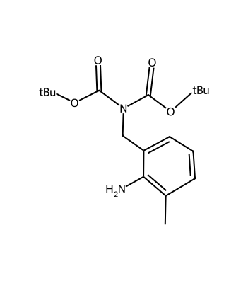 Cc1cccc(CN(C(=O)OC(C)(C)C)C(=O)OC(C)(C)C)c1N